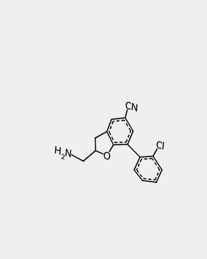 N#Cc1cc2c(c(-c3ccccc3Cl)c1)OC(CN)C2